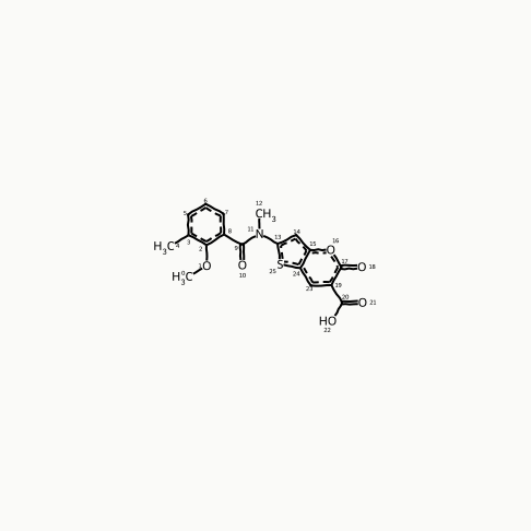 COc1c(C)cccc1C(=O)N(C)c1cc2oc(=O)c(C(=O)O)cc2s1